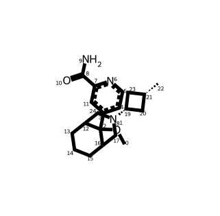 COC1(c2ccnc(C(N)=O)c2)C2CCCC1CN([C@H]1C[C@@H](C)C1)C2